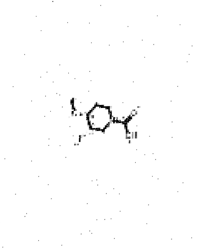 CO[C@@H]1CCN(C(=O)O)C[C@@H]1F